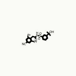 CC(C)c1cc(C#N)cc(C(C)C)c1CC(=O)NS(=O)(=O)c1cccc(C(C)(C)O)c1